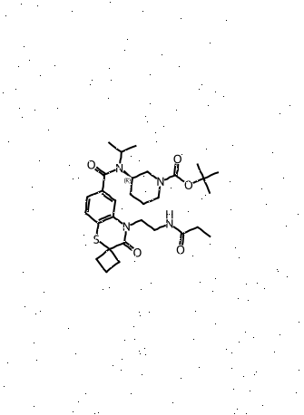 CCC(=O)NCCN1C(=O)C2(CCC2)Sc2ccc(C(=O)N(C(C)C)[C@@H]3CCCN(C(=O)OC(C)(C)C)C3)cc21